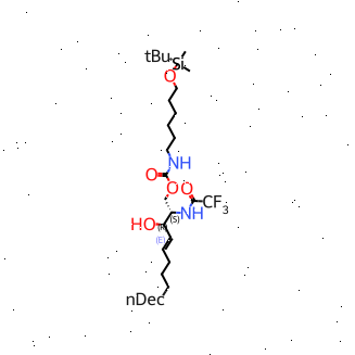 CCCCCCCCCCCCC/C=C/[C@@H](O)[C@H](COC(=O)NCCCCCCO[Si](C)(C)C(C)(C)C)NC(=O)C(F)(F)F